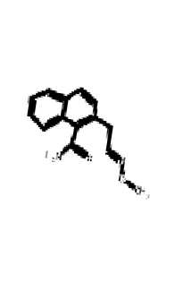 CON=CCc1ccc2ccccc2c1C(N)=O